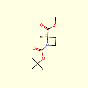 COC(=O)[C@]1(C)CCN1C(=O)OC(C)(C)C